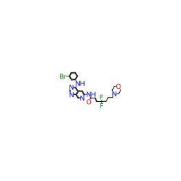 O=C(C=CC(F)(F)CCCN1CCOCC1)Nc1cc2c(Nc3cccc(Br)c3)ncnc2cn1